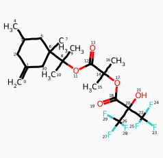 C=C1CC(C)CC(C)(C(C)(C)OC(=O)C(C)(C)OC(=O)C(O)(C(F)(F)F)C(F)(F)F)C1